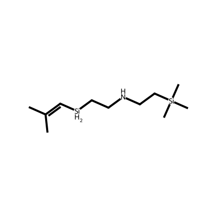 CC(C)=C[SiH2]CCNCC[Si](C)(C)C